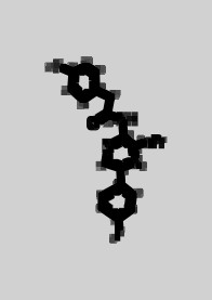 CCCc1nc(-c2ccc(F)cc2)cnc1NC(=O)Cc1ccc(F)cc1